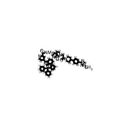 CNC(=O)c1cc(-c2nn(C(c3ccccc3)(c3ccccc3)c3ccccc3)c3ccc(N4CCC5(CCN(CC(=O)N6CC=C(c7ccc(-c8ncn(C)n8)cc7)CC6)C5)C4=O)cc23)ccn1